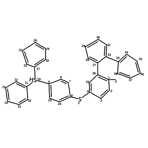 Cc1ccc(Sc2ccc([SH](c3ccccc3)c3ccccc3)cc2)cc1-c1ccccc1-c1ccccc1